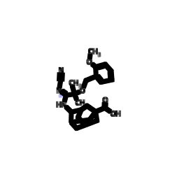 COc1ccccc1COC(C)(C)/C(=N\C#N)NC1C2CC3CC1CC(C(=O)O)(C3)C2